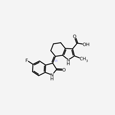 Cc1[nH]c2c(c1C(=O)O)CCC/C2=C1/C(=O)Nc2ccc(F)cc21